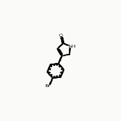 O=C1C=C(c2ccc(Br)cc2)CN1